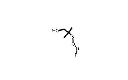 CC(C)(CO)SOOF